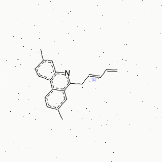 C=C/C=C/Cc1nc2cc(C)ccc2c2ccc(C)cc12